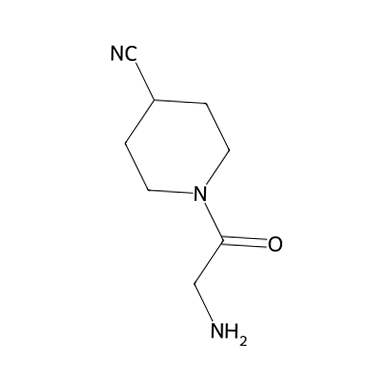 N#CC1CCN(C(=O)CN)CC1